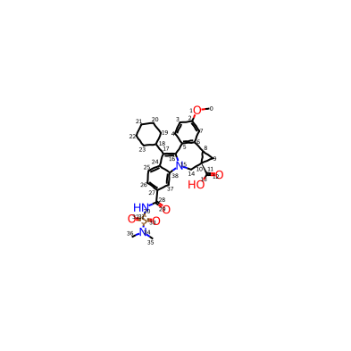 COc1ccc2c(c1)C1C[C@]1(C(=O)O)Cn1c-2c(C2CCCCC2)c2ccc(C(=O)NS(=O)(=O)N(C)C)cc21